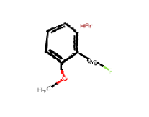 Br.COc1cccc[c]1[Mg][F]